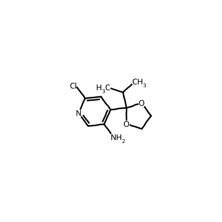 CC(C)C1(c2cc(Cl)ncc2N)OCCO1